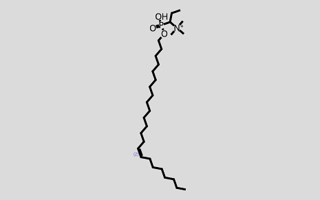 CCCCCCC/C=C\CCCCCCCCCCCCCCOP(=O)(O)C(CC)[N+](C)(C)C